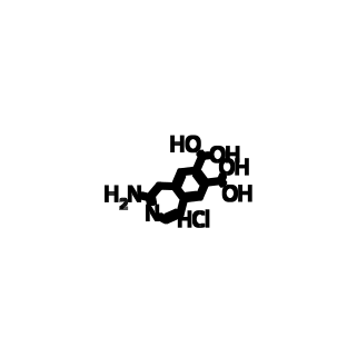 Cl.NC1=NC=Cc2cc(C(O)O)c(C(O)O)cc2C1